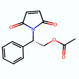 CC(=O)OC[C@H](c1ccccc1)N1C(=O)C=CC1=O